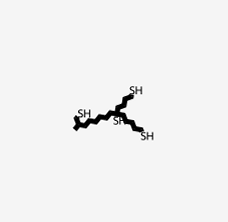 CC(CS)CCCCCCC(S)(CCCCS)CCCCCS